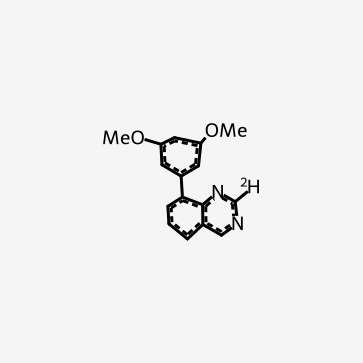 [2H]c1ncc2cccc(-c3cc(OC)cc(OC)c3)c2n1